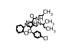 CCCNC(=O)c1nn(-c2ccccc2Cl)c(Oc2ccc(Cl)cc2)c1CNC(C)CC